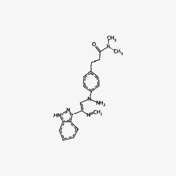 C=N/C(=C\N(N)c1ccc(CCC(=O)N(C)C)cc1)c1n[nH]c2ccccc12